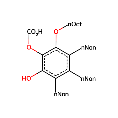 CCCCCCCCCc1c(O)c(OC(=O)O)c(OCCCCCCCC)c(CCCCCCCCC)c1CCCCCCCCC